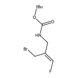 CC(C)(C)OC(=O)NC/C(=C/F)CBr